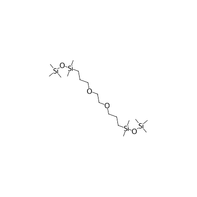 C[Si](C)(C)O[Si](C)(C)CCCOCCOCCC[Si](C)(C)O[Si](C)(C)C